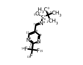 CC(C)(C)[S@@+]([O-])/N=C/c1cnc(C(F)(F)F)nc1